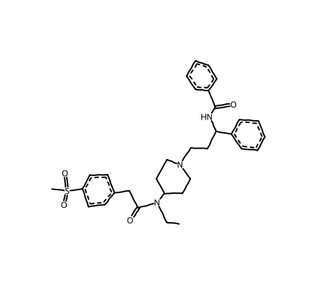 CCN(C(=O)Cc1ccc(S(C)(=O)=O)cc1)C1CCN(CCC(NC(=O)c2ccccc2)c2ccccc2)CC1